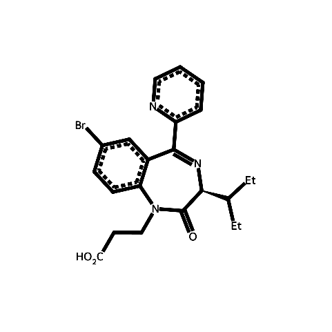 CCC(CC)[C@@H]1N=C(c2ccccn2)c2cc(Br)ccc2N(CCC(=O)O)C1=O